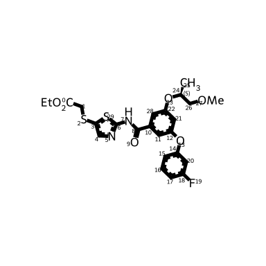 CCOC(=O)CSc1cnc(NC(=O)c2cc(Oc3cccc(F)c3)cc(O[C@@H](C)COC)c2)s1